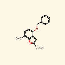 CCOC(=O)c1cc2c(OCc3ccccc3)ccc(C=O)c2o1